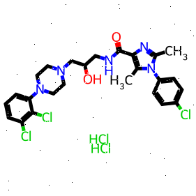 Cc1nc(C(=O)NCC(O)CN2CCN(c3cccc(Cl)c3Cl)CC2)c(C)n1-c1ccc(Cl)cc1.Cl.Cl